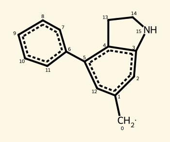 [CH2]c1cc2c(c(-c3ccccc3)c1)CCN2